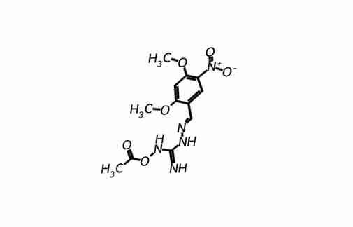 COc1cc(OC)c([N+](=O)[O-])cc1C=NNC(=N)NOC(C)=O